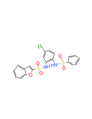 O=S(=O)(Nc1ccc(Cl)cc1NS(=O)(=O)c1cc2ccccc2o1)c1ccccc1